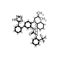 CC(C)CN(c1ccc(-c2ccccc2-c2nnn[nH]2)cc1NC(=O)Nc1ccccc1C(F)(F)F)C1CCCCC1